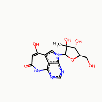 CC1(O)C(n2cc3c4c(ncnc42)NC(=O)C=C3O)O[C@H](CO)[C@H]1O